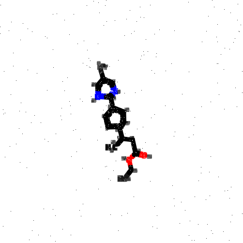 CCCc1cnc(-c2ccc(C(C)CC(=O)OCC(C)CC)cc2)nc1